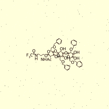 CC(=O)NC1[C@H](OCCCNC(=O)C(F)(F)F)OC(COCc2ccccc2)[C@@H](O[C@@H]2OC(COCc3ccccc3)[C@H](O)[C@H](O[C@H]3OC(COCc4ccccc4)[C@H](O)[C@H](O)C3OCc3ccccc3)C2O)[C@@H]1O